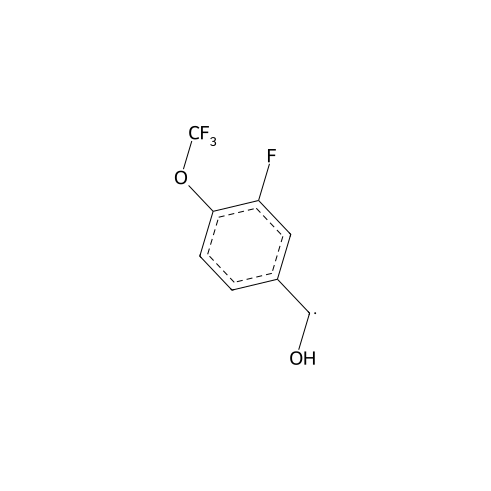 O[CH]c1ccc(OC(F)(F)F)c(F)c1